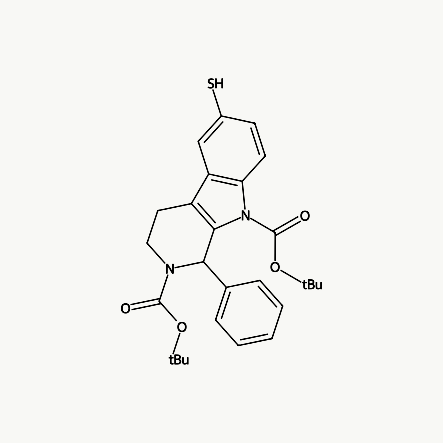 CC(C)(C)OC(=O)N1CCc2c(n(C(=O)OC(C)(C)C)c3ccc(S)cc23)C1c1ccccc1